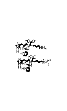 NCCCC[C@H](NC(=O)[C@H](Cc1c[nH]cn1)NC(=O)[C@@H]1CCCN1)C(=O)[O-].NCCCC[C@H](NC(=O)[C@H](Cc1c[nH]cn1)NC(=O)[C@@H]1CCCN1)C(=O)[O-].[Cu+2]